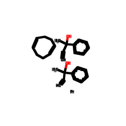 C#CC(C)(O)c1ccccc1.C#CC(C)(O)c1ccccc1.C1=CCCC=CCC1.[Pt]